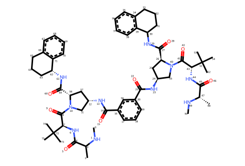 CNC(C)C(=O)N[C@H](C(=O)N1C[C@@H](NC(=O)c2cccc(C(=O)N[C@H]3C[C@@H](C(=O)NC4CCCc5ccccc54)N(C(=O)[C@@H](NC(=O)[C@H](C)NC)C(C)(C)C)C3)c2)C[C@H]1C(=O)N[C@@H]1CCCc2ccccc21)C(C)(C)C